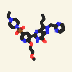 CCCc1c2nc(-c3cc(S(=O)(=O)N4CCN(CC)CC4)cnc3OCCOC)[nH]c(=O)c2nn1Cc1ncccn1